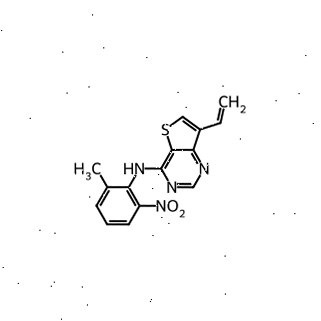 C=Cc1csc2c(Nc3c(C)cccc3[N+](=O)[O-])ncnc12